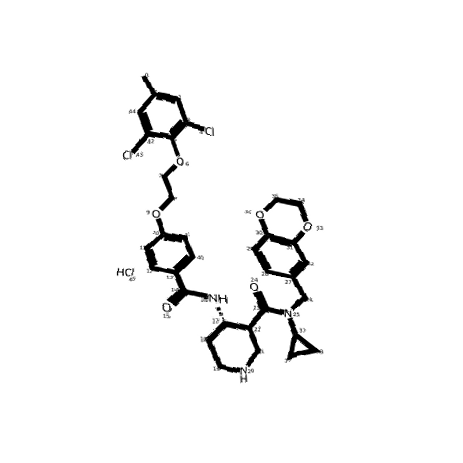 Cc1cc(Cl)c(OCCOc2ccc(C(=O)N[C@H]3CCNCC3C(=O)N(Cc3ccc4c(c3)OCCO4)C3CC3)cc2)c(Cl)c1.Cl